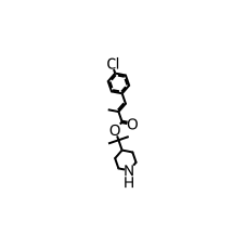 C/C(=C\c1ccc(Cl)cc1)C(=O)OC(C)(C)C1CCNCC1